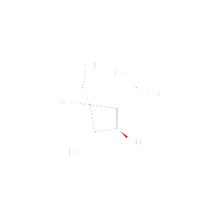 CC1PC12C(O)[C@H](O)C2C(O)O